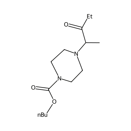 CCCCOC(=O)N1CCN(C(C)C(=O)CC)CC1